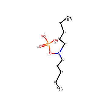 CCCCCN(CCCCC)OP(=O)(O)O